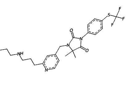 CCCNCCCc1cc(CN2C(=O)N(c3ccc(SC(F)(F)F)cc3)C(=O)C2(C)C)ccn1